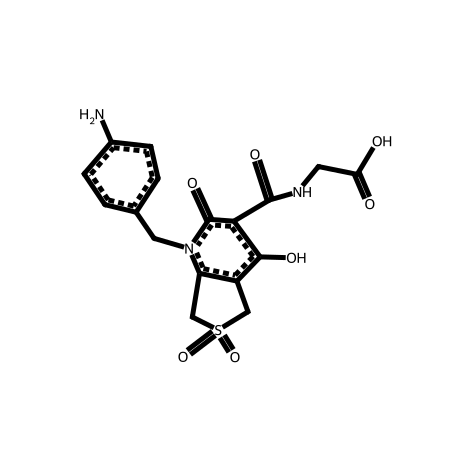 Nc1ccc(Cn2c3c(c(O)c(C(=O)NCC(=O)O)c2=O)CS(=O)(=O)C3)cc1